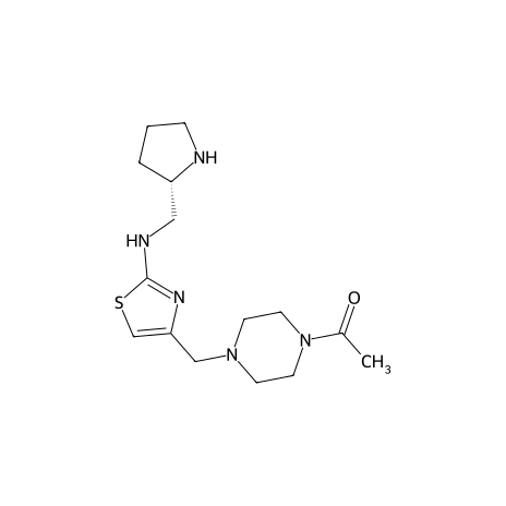 CC(=O)N1CCN(Cc2csc(NC[C@@H]3CCCN3)n2)CC1